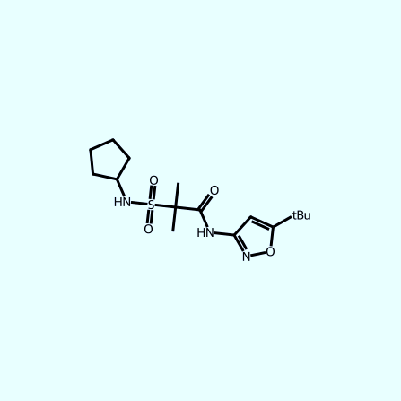 CC(C)(C)c1cc(NC(=O)C(C)(C)S(=O)(=O)NC2CCCC2)no1